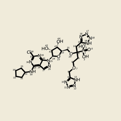 O=P(O)(O)C(CCOCc1nnn[nH]1)(Cc1nnn[nH]1)OC[C@H]1O[C@@H](n2ncc3c(NC4CCCC4)nc(Cl)nc32)[C@H](O)[C@@H]1O